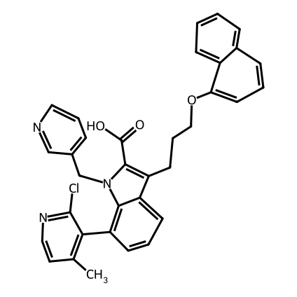 Cc1ccnc(Cl)c1-c1cccc2c(CCCOc3cccc4ccccc34)c(C(=O)O)n(Cc3cccnc3)c12